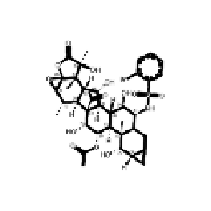 CC(=O)O[C@H]1[C@H]2[C@@H]([C@@H](O)[C@@H](NS(=O)(=O)c3ccccc3Br)C3CC4C[C@@H]4[C@H](O)[C@@]32C)[C@@H]2[C@@H](O)[C@@H]3[C@H]([C@H](C)[C@H]4O[C@]45OC(=O)[C@@](C)(O)[C@]35C)[C@@]2(C(C)=O)[C@H]1O